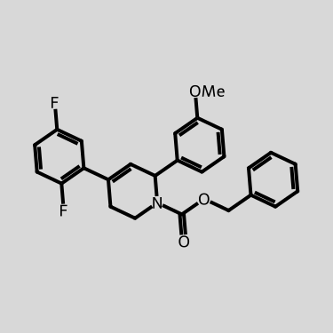 COc1cccc(C2C=C(c3cc(F)ccc3F)CCN2C(=O)OCc2ccccc2)c1